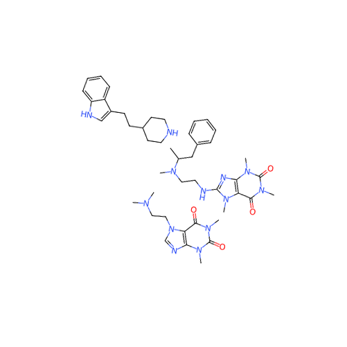 CC(Cc1ccccc1)N(C)CCNc1nc2c(c(=O)n(C)c(=O)n2C)n1C.CN(C)CCn1cnc2c1c(=O)n(C)c(=O)n2C.c1ccc2c(CCC3CCNCC3)c[nH]c2c1